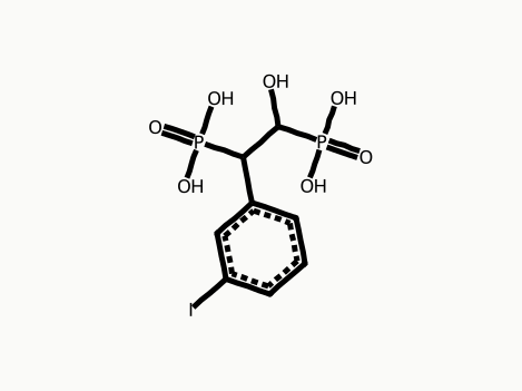 O=P(O)(O)C(O)C(c1cccc(I)c1)P(=O)(O)O